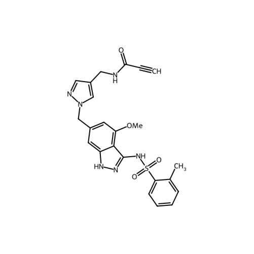 C#CC(=O)NCc1cnn(Cc2cc(OC)c3c(NS(=O)(=O)c4ccccc4C)n[nH]c3c2)c1